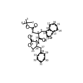 CC(C)(C)OC(=O)CC(Cc1csc2ccccc12)C(=O)N1C(=O)OCC1Cc1ccccc1